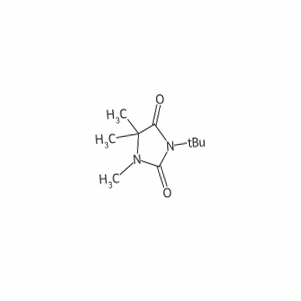 CN1C(=O)N(C(C)(C)C)C(=O)C1(C)C